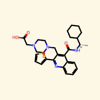 C[C@H](NC(=O)c1c(CN2CCN(CC(=O)O)CC2=O)c(-c2cccs2)nc2ccccc12)C1CCCCC1